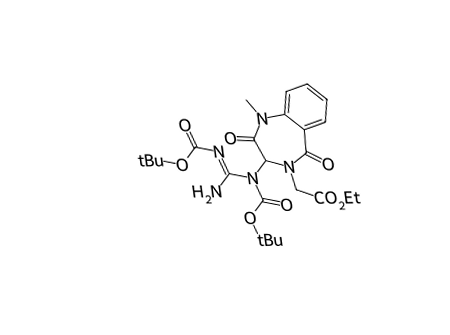 CCOC(=O)CN1C(=O)c2ccccc2N(C)C(=O)C1N(C(=O)OC(C)(C)C)C(N)=NC(=O)OC(C)(C)C